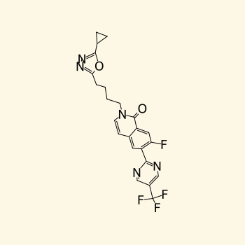 O=c1c2cc(F)c(-c3ncc(C(F)(F)F)cn3)cc2ccn1CCCCc1nnc(C2CC2)o1